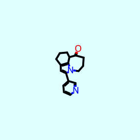 O=C1CCCn2c(-c3cccnc3)cc3c2C1CCC3